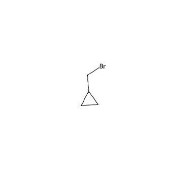 BrC[C]1CC1